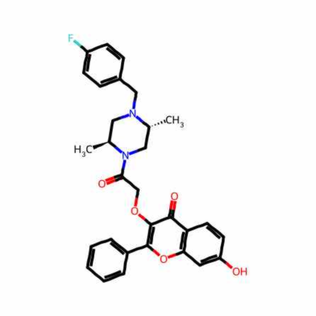 C[C@@H]1CN(C(=O)COc2c(-c3ccccc3)oc3cc(O)ccc3c2=O)[C@@H](C)CN1Cc1ccc(F)cc1